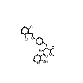 COC(=O)[C@H](Cc1ccc(OCc2c(Cl)cccc2Cl)cc1)NC(=O)c1cccnc1S